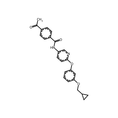 CC(=O)c1ccc(C(=O)Nc2ccc(Oc3cccc(OCC4CC4)c3)nc2)cc1